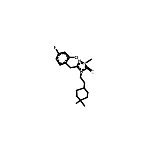 Cn1nc(Cc2ccc(F)cc2Cl)n(CCC2CCC(C)(C)CC2)c1=O